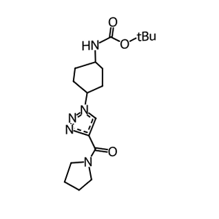 CC(C)(C)OC(=O)NC1CCC(n2cc(C(=O)N3CCCC3)nn2)CC1